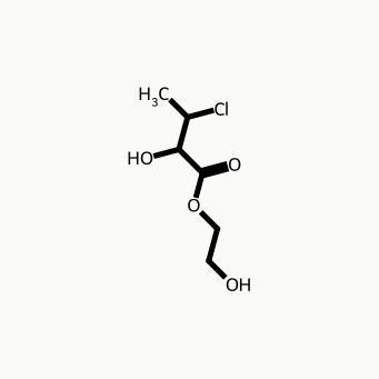 CC(Cl)C(O)C(=O)OCCO